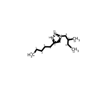 CCCCCc1cn(CC(C)CC)nn1